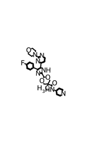 CC1(C(=O)Nc2ccncc2)COC(c2nc(-c3ccc(F)cc3)c(-c3ccnc(N4CCOCC4)n3)[nH]2)OC1